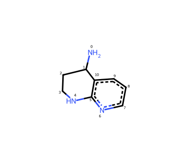 NC1CCNc2ncccc21